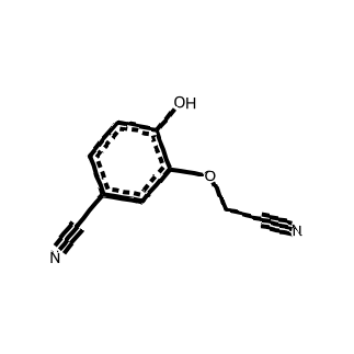 N#CCOc1cc(C#N)ccc1O